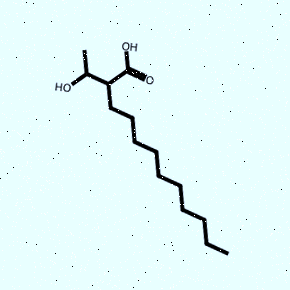 CCCCCCCCCCC(C(=O)O)C(C)O